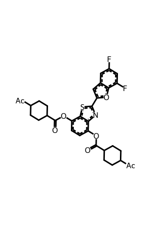 CC(=O)C1CCC(C(=O)Oc2ccc(OC(=O)C3CCC(C(C)=O)CC3)c3sc(-c4cc5cc(F)cc(F)c5o4)nc23)CC1